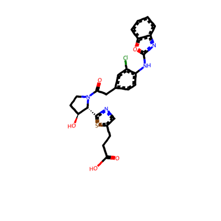 O=C(O)CCc1cnc([C@@H]2[C@@H](O)CCN2C(=O)Cc2ccc(Nc3nc4ccccc4o3)c(Cl)c2)s1